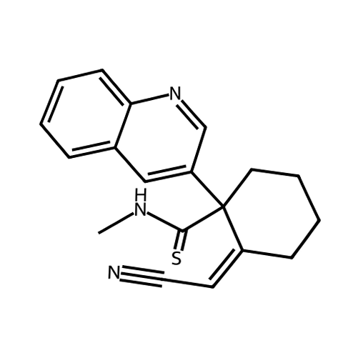 CNC(=S)C1(c2cnc3ccccc3c2)CCCC/C1=C/C#N